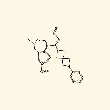 C=N/N=C(/C1CC2(C1)CN(c1cnccn1)C2)N1CCN(C)Cc2cc(OC)ccc21